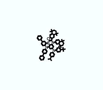 CC(C)c1ccc(N(c2ccc(C(C)(C)C)cc2)c2cc3c4c(c2)N(c2ccc5c(c2)C(C)(C)CCC5(C)C)c2c(oc5cc6c(cc25)C(C)(C)CCC6(C)C)B4c2cc(-c4ccccc4)ccc2N3c2ccc(-c3ccccc3)cc2)cc1